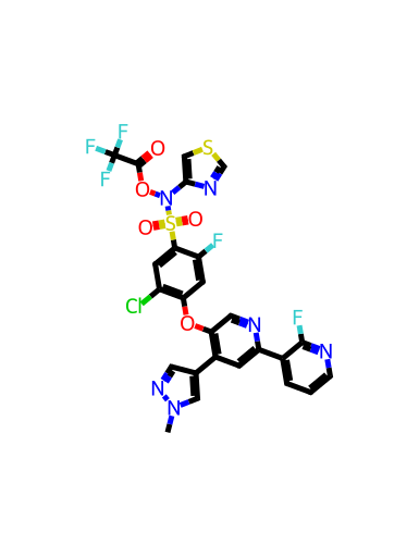 Cn1cc(-c2cc(-c3cccnc3F)ncc2Oc2cc(F)c(S(=O)(=O)N(OC(=O)C(F)(F)F)c3cscn3)cc2Cl)cn1